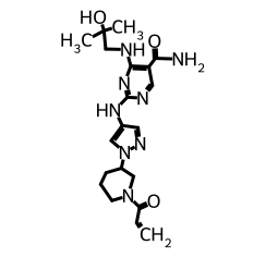 C=CC(=O)N1CCCC(n2cc(Nc3ncc(C(N)=O)c(NCC(C)(C)O)n3)cn2)C1